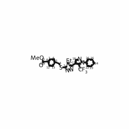 CCn1c(SCc2ccc(C(=O)OC)cc2)nnc1-c1cnn(-c2ccccc2)c1C(F)(F)F